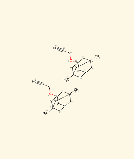 C#CCOC12CC3CC(C)(CC(C)(C3)C1)C2.C#CCOC12CC3CC(C)(CC(C)(C3)C1)C2